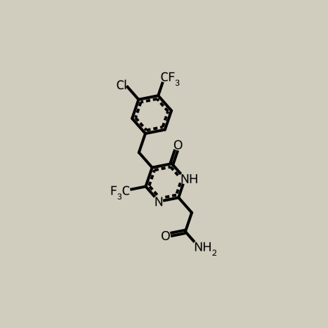 NC(=O)Cc1nc(C(F)(F)F)c(Cc2ccc(C(F)(F)F)c(Cl)c2)c(=O)[nH]1